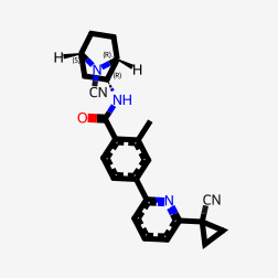 Cc1cc(-c2cccc(C3(C#N)CC3)n2)ccc1C(=O)N[C@@H]1C[C@@H]2CC[C@H]1N2C#N